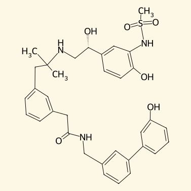 CC(C)(Cc1cccc(CC(=O)NCc2cccc(-c3cccc(O)c3)c2)c1)NC[C@H](O)c1ccc(O)c(NS(C)(=O)=O)c1